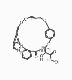 CCNC(=O)C(O)[C@@H]1Cc2ccc(cc2)OC/C=C/COc2ccc3c(cnn3-c3ncccc3C(=O)N1)c2